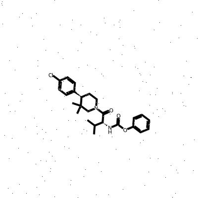 CC(C)[C@@H](NC(=O)Oc1ccccc1)C(=O)N1CC[C@H](c2ccc(Cl)cc2)C(C)(C)C1